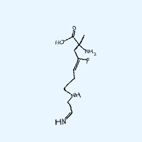 CC(N)(CC(F)=CCCNCC=N)C(=O)O